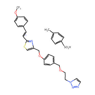 Cc1ccc(S(=O)(=O)O)cc1.FC(F)(F)Oc1ccc(/C=C/c2nc(COc3ccc(COCCn4ccnn4)cc3)cs2)cc1